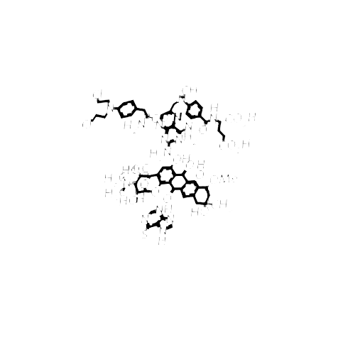 CN(Cc1cnc2nc(N)nc(N)c2n1)c1ccc(C(=O)N[C@@H](CCC(=O)O)C(=O)O)cc1.CO[C@@H]1C[C@](C)(O)Cc2cc3c(c(O)c21)C(=O)c1c(O)cc2c(c1C3=O)O[C@@H]1O[C@@]2(C)[C@H](O)[C@@H](N(C)C)[C@@H]1O.N[C@@H](Cc1ccc(N(CCCl)CCCl)cc1)C(=O)O.S=c1nc[nH]c2nc[nH]c12